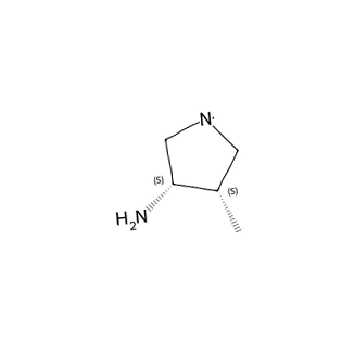 C[C@H]1C[N]C[C@H]1N